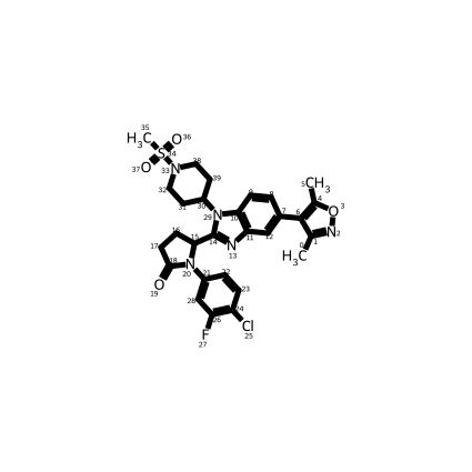 Cc1noc(C)c1-c1ccc2c(c1)nc(C1CCC(=O)N1c1ccc(Cl)c(F)c1)n2C1CCN(S(C)(=O)=O)CC1